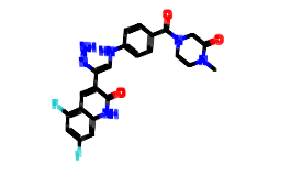 CN1CCN(C(=O)c2ccc(N/C=C(\N=N)c3cc4c(F)cc(F)cc4[nH]c3=O)cc2)CC1=O